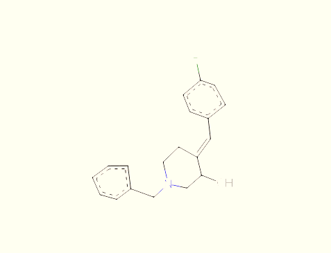 CC1CN(Cc2ccccc2)CCC1=Cc1ccc(F)cc1